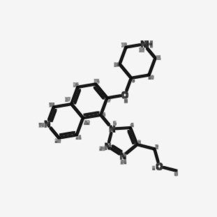 COCc1cn(-c2c(OC3CCNCC3)ccc3cnccc23)nn1